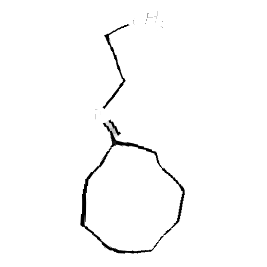 CCCP=C1CCCCCCC1